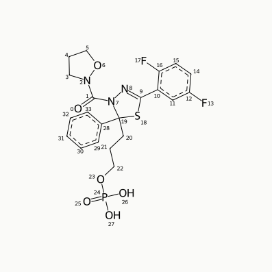 O=C(N1CCCO1)N1N=C(c2cc(F)ccc2F)SC1(CCCOP(=O)(O)O)c1ccccc1